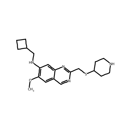 COc1cc2cnc(CSC3CCNCC3)nc2cc1NCC1CCC1